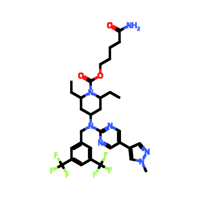 CCC1CC(N(Cc2cc(C(F)(F)F)cc(C(F)(F)F)c2)c2ncc(-c3cnn(C)c3)cn2)CC(CC)N1C(=O)OCCCCC(N)=O